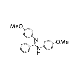 COc1ccc(/N=C(/Nc2ccc(OC)cc2)c2ccccc2)cc1